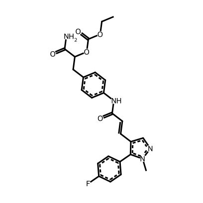 CCOC(=O)OC(Cc1ccc(NC(=O)C=Cc2cnn(C)c2-c2ccc(F)cc2)cc1)C(N)=O